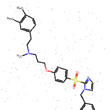 COc1ccc(CCN(C)CCCOc2ccc(S(=O)(=O)c3nccn3Cc3ccccc3)cc2)cc1OC